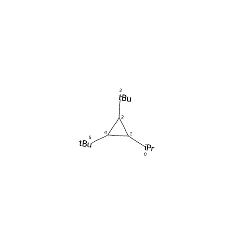 CC(C)C1C(C(C)(C)C)C1C(C)(C)C